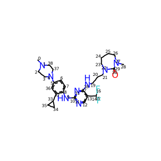 CN1CCN(c2ccc(Nc3ncc(C(F)F)c(NCCCN4CCCCN(C)C4=O)n3)c(C3CC3)c2)CC1